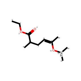 CCOC(=O)C(C)C/C=C(/C)O[SiH](C)C